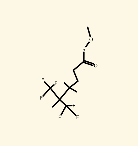 COSC(=O)CCC(C)(C)C(C)(C(F)(F)F)C(F)(F)F